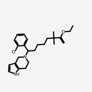 C=C(OCC)C(C)(C)CCCCC(c1ccccc1Cl)N1CCc2[nH]ccc2C1